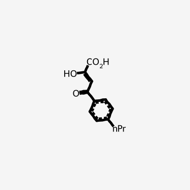 CCCc1ccc(C(=O)/C=C(\O)C(=O)O)cc1